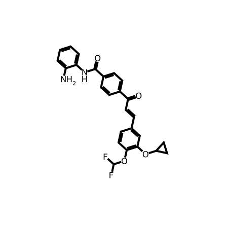 Nc1ccccc1NC(=O)c1ccc(C(=O)C=Cc2ccc(OC(F)F)c(OC3CC3)c2)cc1